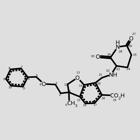 CC1(CCOCc2ccccc2)COc2c1ccc(C(=O)O)c2CNC1CCC(=O)NC1=O